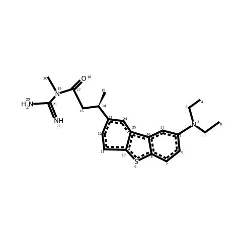 CCN(CC)c1ccc2sc3ccc([C@H](C)CC(=O)N(C)C(=N)N)cc3c2c1